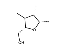 CC1[C@@H](CO)O[C@@H](C)[C@H]1C